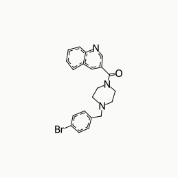 O=C(c1cnc2ccccc2c1)N1CCN(Cc2ccc(Br)cc2)CC1